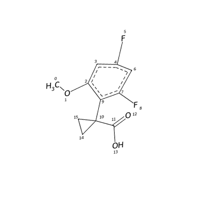 COc1cc(F)cc(F)c1C1(C(=O)O)CC1